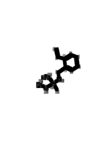 C=Cc1ccccc1CO[Si](C)(CCC)OCC